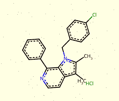 Cc1c(C)n(Cc2ccc(Cl)cc2)c2c(-c3ccccc3)nccc12.Cl